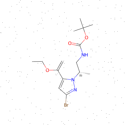 C=C(OCC)c1cc(Br)nn1[C@@H](C)CNC(=O)OC(C)(C)C